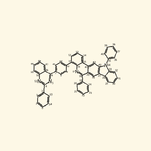 c1ccc(-c2nc(-c3ccc(-c4cccc5c4nc(-c4ccccc4)c4cc6c7ccccc7n(-c7ccccc7)c6cc45)cc3)c3ccccc3n2)cc1